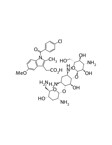 COc1ccc2c(c1)c(CC(=O)O)c(C)n2C(=O)c1ccc(Cl)cc1.NC[C@H]1O[C@H](O[C@H]2[C@H](O)[C@@H](O[C@H]3O[C@H](CO)[C@@H](O)[C@H](N)[C@H]3O)[C@H](N)C[C@@H]2N)[C@H](N)C[C@@H]1O